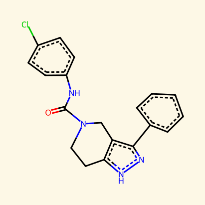 O=C(Nc1ccc(Cl)cc1)N1CCc2[nH]nc(-c3ccccc3)c2C1